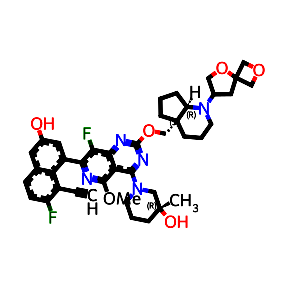 C#Cc1c(F)ccc2cc(O)cc(-c3nc(OC)c4c(N5CCC[C@@](C)(O)C5)nc(OC[C@]56CCC[C@H]5N(C5COC7(COC7)C5)CCC6)nc4c3F)c12